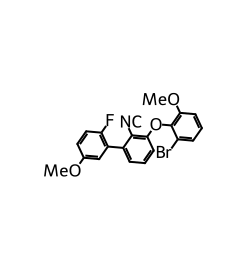 COc1ccc(F)c(-c2cccc(Oc3c(Br)cccc3OC)c2C#N)c1